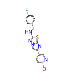 COc1ccc(-c2cn3nc(NCc4ccc(F)cc4)sc3n2)cn1